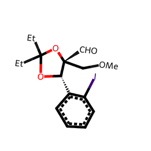 CCC1(CC)O[C@@H](c2ccccc2I)[C@@](C=O)(COC)O1